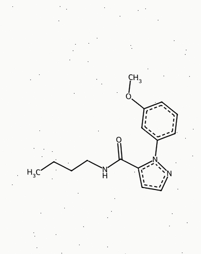 CCCCNC(=O)c1ccnn1-c1cccc(OC)c1